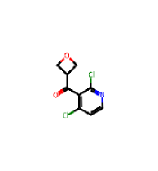 O=C(c1c(Cl)ccnc1Cl)C1COC1